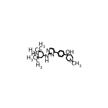 CN1CCC(O)(c2ccc(-c3ccnc(NC4CC(C)(C)NC(C)(C)C4)n3)cc2)CC1